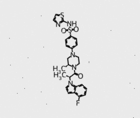 C[C@H]1CN(c2ccc(S(=O)(=O)Nc3nccs3)cc2)CCN1C(=O)[C@H](C)n1ccc2c(F)cccc21